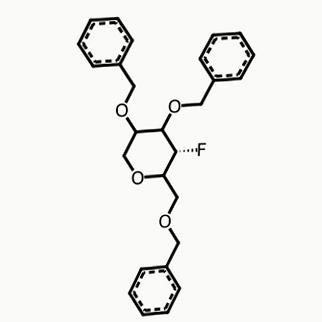 F[C@@H]1C(COCc2ccccc2)OCC(OCc2ccccc2)C1OCc1ccccc1